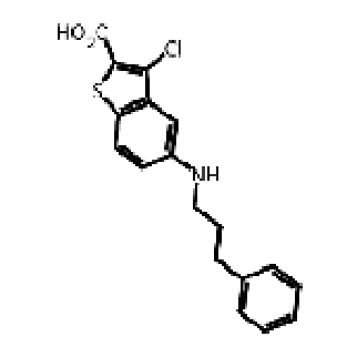 O=C(O)c1sc2ccc(NCCCc3ccccc3)cc2c1Cl